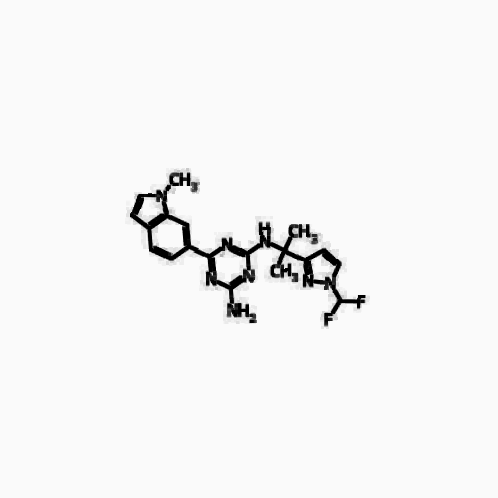 Cn1ccc2ccc(-c3nc(N)nc(NC(C)(C)c4ccn(C(F)F)n4)n3)cc21